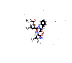 CC(=O)SC[C@H](CC(C)C)C(=O)N[C@@H](Cc1ccccc1)C(=O)N[C@@H](CC(C)C)C(N)=O